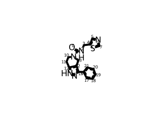 O=C(NCc1cncs1)N1CCc2[nH]nc(-c3ccccc3)c2C1